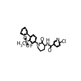 CS(=O)(=O)c1c(-c2ccccc2)ccc(N2CCCC(NC(=O)c3ccc(Cl)nc3)C2=O)c1F